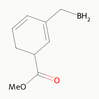 BCC1=CC(C(=O)OC)CC=C1